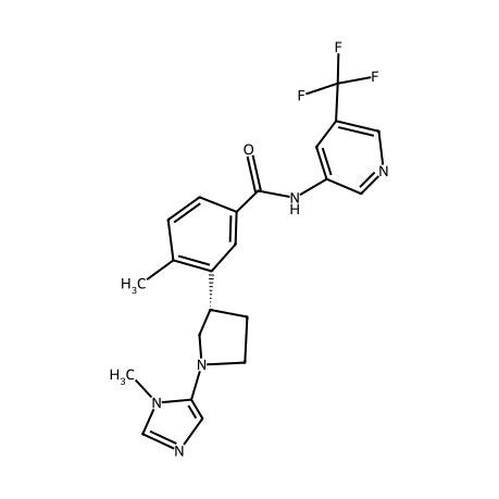 Cc1ccc(C(=O)Nc2cncc(C(F)(F)F)c2)cc1[C@@H]1CCN(c2cncn2C)C1